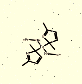 CCC[NH][Hf]([NH]CCC)([C]1(C)C=CC(C)=N1)[C]1(C)C=CC(C)=N1